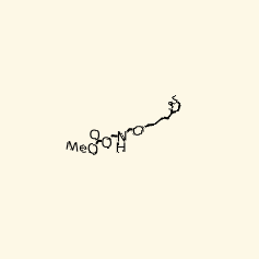 COC(=O)OCNCOCCCCC1CCSS1